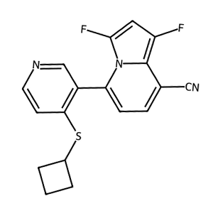 N#Cc1ccc(-c2cnccc2SC2CCC2)n2c(F)cc(F)c12